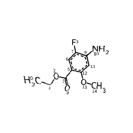 CCOC(=O)c1cc(F)c(N)cc1OC